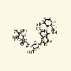 C[C@H](Nc1nc(Cl)nc2c1cnn2[C@H]1C[C@H](O)[C@@H](COP(=O)(O)CP(=O)(O)O)O1)c1cccc(I)c1